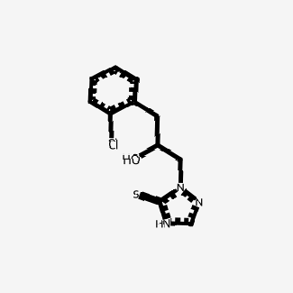 OC(Cc1ccccc1Cl)Cn1nc[nH]c1=S